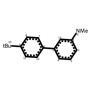 CNc1cccc(-c2ccc(C(C)(C)C)cc2)c1